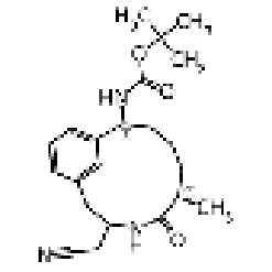 C[C@@H]1CCC[C@H](NC(=O)OC(C)(C)C)c2cccc(c2)CC(CC#N)NC1=O